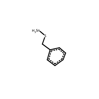 [SnH3][S]Cc1ccccc1